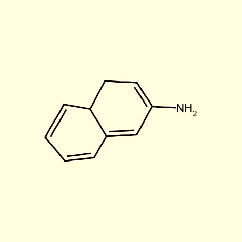 NC1=CCC2C=CC=CC2=C1